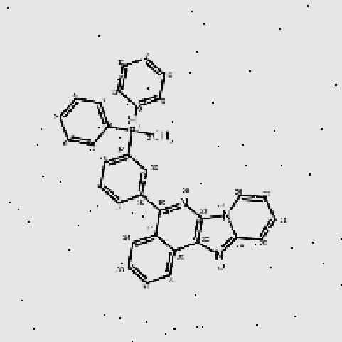 C[PH](c1ccccc1)(c1ccccc1)c1cccc(-c2nc3c(nc4ccccn43)c3ccccc23)c1